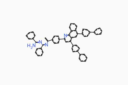 C=C(/N=C(\N=C(/N)c1ccccc1)c1ccccc1)c1ccc(-c2cc(-c3ccc(-c4ccccc4)cc3)c3cc(-c4ccc(-c5ccccc5)cc4)c4ccccc4c3n2)cc1